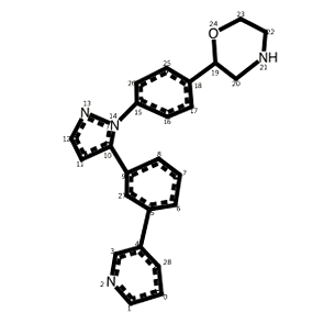 c1cncc(-c2cccc(-c3ccnn3-c3ccc(C4CNCCO4)cc3)c2)c1